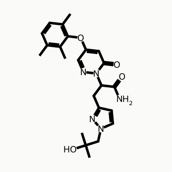 Cc1ccc(C)c(Oc2cnn(C(Cc3ccn(CC(C)(C)O)n3)C(N)=O)c(=O)c2)c1C